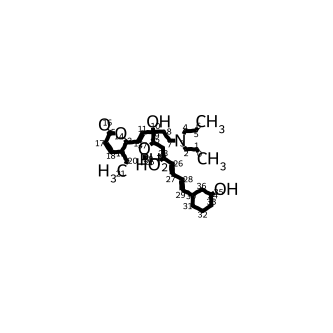 CCCN(CCC)CCC(O)(C=CC1OC(=O)C=CC1CC)C(CC(O)C=CC=CC1CCCC(O)C1)OP